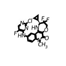 Cn1c(=O)c2c(c3cc(Nc4nc(Cl)ncc4F)ccc31)N[C@@H](C1CC1)C(F)(F)CO2